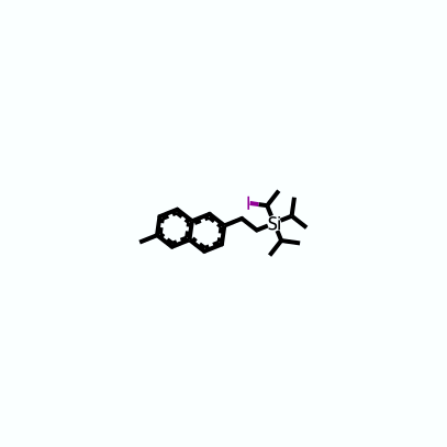 Cc1ccc2cc(CC[Si](C(C)C)(C(C)C)C(C)I)ccc2c1